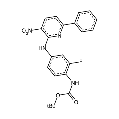 CC(C)(C)OC(=O)Nc1ccc(Nc2nc(-c3ccccc3)ccc2[N+](=O)[O-])cc1F